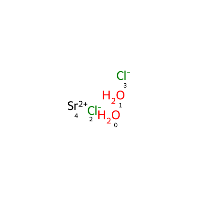 O.O.[Cl-].[Cl-].[Sr+2]